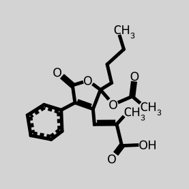 CCCCC1(OC(C)=O)OC(=O)C(c2ccccc2)=C1/C=C(\C)C(=O)O